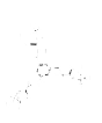 CC(C)(C)OC(=O)NCc1cc(CNC(=O)OC(C)(C)C)cc(CNC(=O)OC(C)(C)C)c1